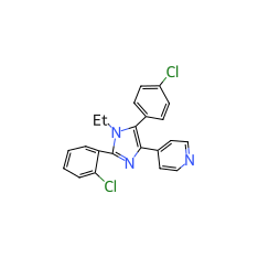 CCn1c(-c2ccccc2Cl)nc(-c2ccncc2)c1-c1ccc(Cl)cc1